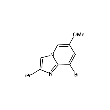 COc1cc(Br)c2nc(C(C)C)cn2c1